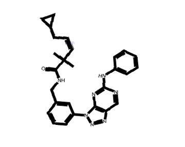 CC(C)(/C=C\CC1CC1)C(=O)NCc1cccc(-n2nnc3cnc(Nc4ccccc4)nc32)c1